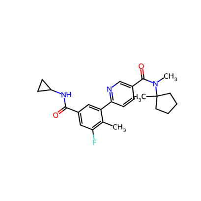 Cc1c(F)cc(C(=O)NC2CC2)cc1-c1ccc(C(=O)N(C)C2(C)CCCC2)cn1